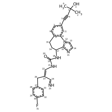 CC(C)(O)C#Cc1ccc2c(c1)-n1ccnc1C(NC(=O)N/C=C(\C=N)Cc1ccc(F)cc1)CC2